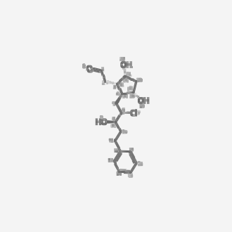 O=CC[C@H]1[C@H](CC(Cl)[C@H](O)CCc2ccccc2)[C@@H](O)C[C@H]1O